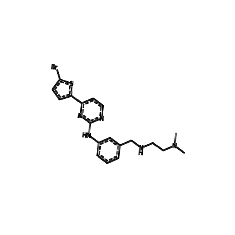 CN(C)CCNCc1cccc(Nc2nccc(-c3ccc(Br)s3)n2)c1